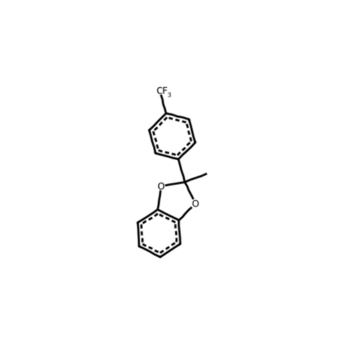 CC1(c2ccc(C(F)(F)F)cc2)Oc2ccccc2O1